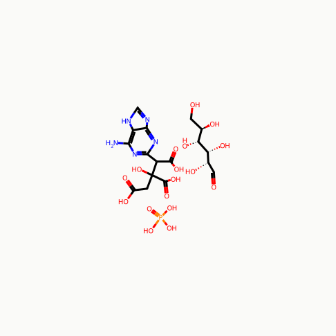 Nc1nc(C(C(=O)O)C(O)(CC(=O)O)C(=O)O)nc2nc[nH]c12.O=C[C@H](O)[C@@H](O)[C@H](O)[C@H](O)CO.O=P(O)(O)O